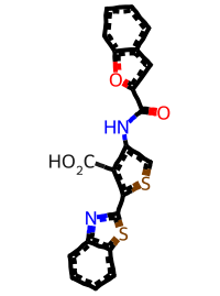 O=C(Nc1csc(-c2nc3ccccc3s2)c1C(=O)O)c1cc2ccccc2o1